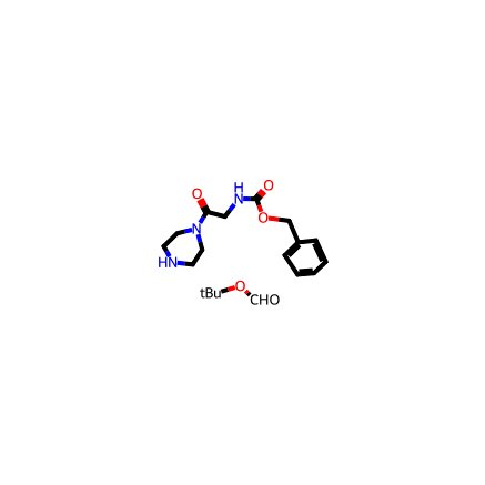 CC(C)(C)OC=O.O=C(NCC(=O)N1CCNCC1)OCc1ccccc1